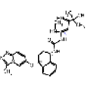 CN/C(=C\C(=N)C(C)(C)C)NC(=O)N[C@H]1CC[C@@H](Oc2ccc3nnc(C)n3c2)c2ccccc21